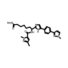 CNC(=O)CCCCCC(NC(=O)c1cc(C)nn1C)c1ncc(-c2ccc(-c3ccn(C)n3)cc2)[nH]1